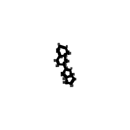 c1cnc2nc(-c3cn4ccsc4n3)ccc2n1